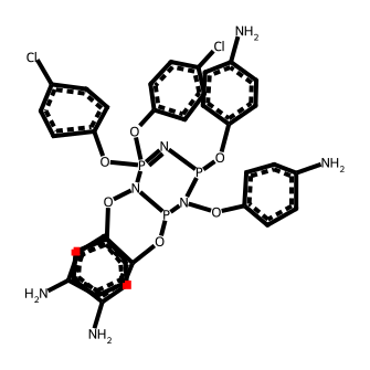 Nc1ccc(ON2P(Oc3ccc(N)cc3)N=P(Oc3ccc(Cl)cc3)(Oc3ccc(Cl)cc3)N(Oc3ccc(N)cc3)P2Oc2ccc(N)cc2)cc1